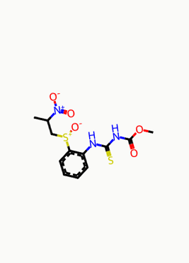 COC(=O)NC(=S)Nc1ccccc1[S+]([O-])CC(C)[N+](=O)[O-]